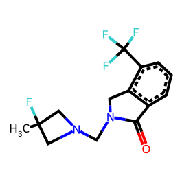 CC1(F)CN(CN2Cc3c(cccc3C(F)(F)F)C2=O)C1